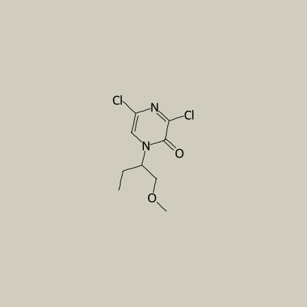 CCC(COC)n1cc(Cl)nc(Cl)c1=O